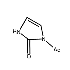 CC(=O)n1cc[nH]c1=O